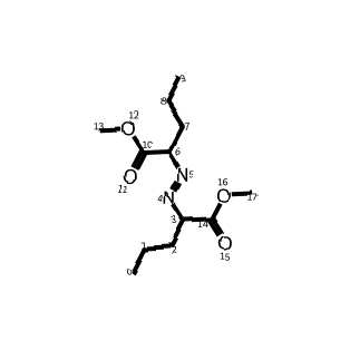 CCCC(N=NC(CCC)C(=O)OC)C(=O)OC